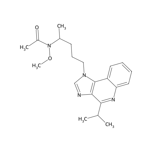 CON(C(C)=O)C(C)CCCn1cnc2c(C(C)C)nc3ccccc3c21